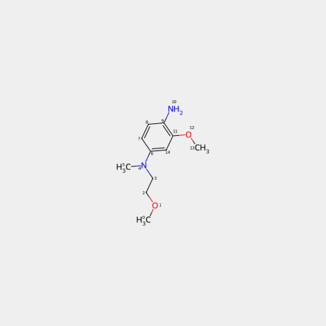 COCCN(C)c1ccc(N)c(OC)c1